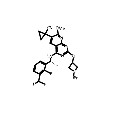 COc1nc2nc(OC3CN(C(C)C)C3)nc(N[C@H](C)c3cccc(C(F)F)c3F)c2cc1C1(C#N)CC1